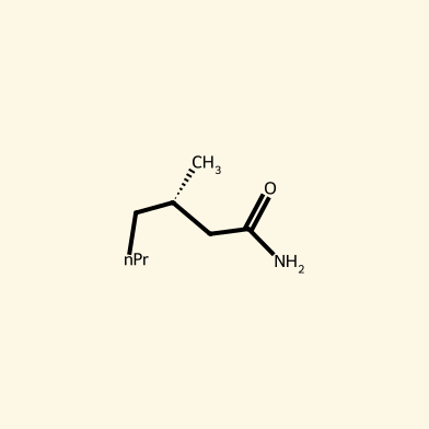 CCCC[C@H](C)CC(N)=O